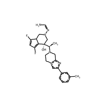 Cc1cccc(-c2cn3c(n2)CN([C@H](C)[C@]2(O)CN(/N=C\N)CC4C(F)=CC(F)=C42)CC3)c1